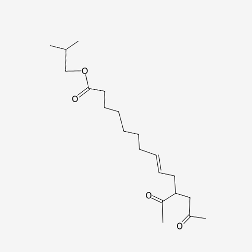 CC(=O)CC(C/C=C/CCCCCCC(=O)OCC(C)C)C(C)=O